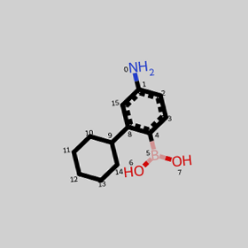 Nc1ccc(B(O)O)c(C2CCCCC2)c1